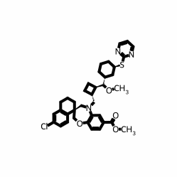 COC(=O)c1ccc2c(c1)N(C[C@@H]1CC[C@H]1C(OC)[C@@H]1CCC[C@@H](Sc3ncccn3)C1)C[C@@]1(CCCc3cc(Cl)ccc31)CO2